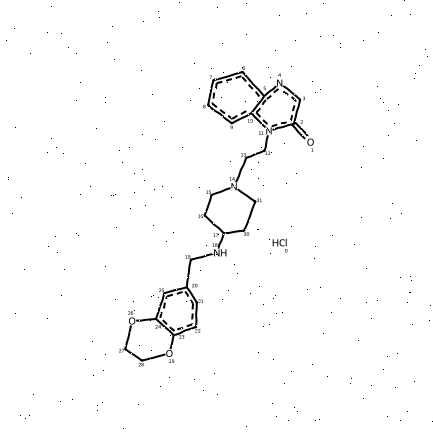 Cl.O=c1cnc2ccccc2n1CCN1CCC(NCc2ccc3c(c2)OCCO3)CC1